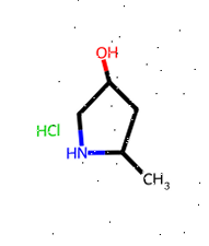 CC1CC(O)CN1.Cl